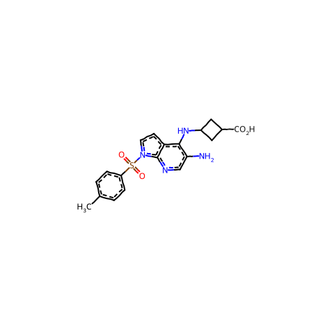 Cc1ccc(S(=O)(=O)n2ccc3c(NC4CC(C(=O)O)C4)c(N)cnc32)cc1